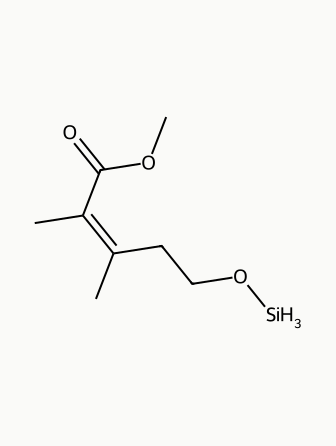 COC(=O)C(C)=C(C)CCO[SiH3]